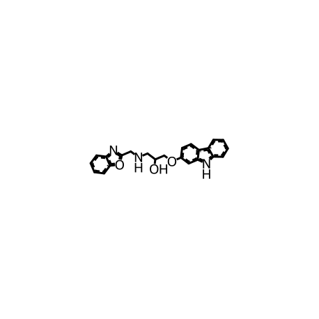 OC(CNCc1nc2ccccc2o1)COc1ccc2c(c1)[nH]c1ccccc12